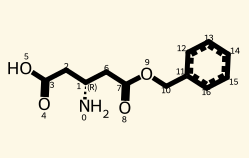 N[C@H](CC(=O)O)CC(=O)OCc1ccccc1